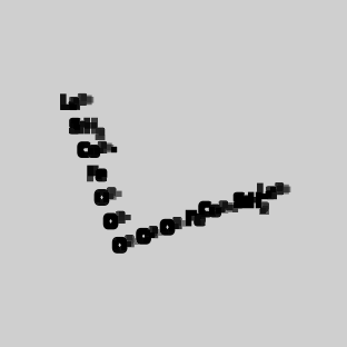 [Co+2].[Co+2].[Fe].[Fe].[La+3].[La+3].[O-2].[O-2].[O-2].[O-2].[O-2].[SrH2].[SrH2]